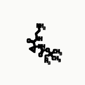 CC(C)(C)OC(=O)NC1(C(=O)NCCN)CC1